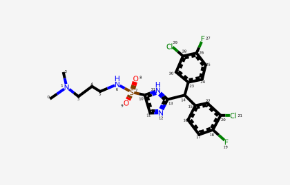 CN(C)CCCNS(=O)(=O)c1cnc(C(c2ccc(F)c(Cl)c2)c2ccc(F)c(Cl)c2)[nH]1